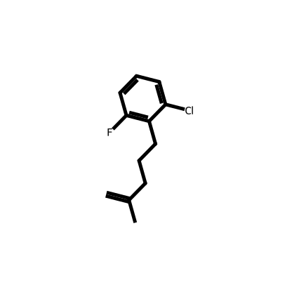 C=C(C)CCCc1c(F)cccc1Cl